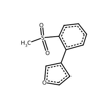 CS(=O)(=O)c1ccccc1-c1[c]coc1